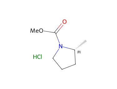 COC(=O)N1CCC[C@H]1C.Cl